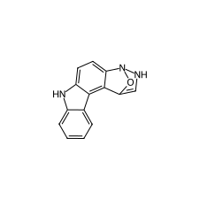 C1=C2ON(N1)c1ccc3[nH]c4ccccc4c3c12